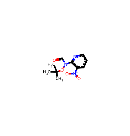 CC(C)(C)ON(C=O)c1ncccc1[N+](=O)[O-]